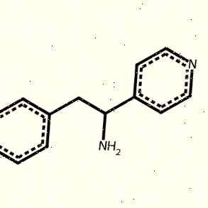 NC(Cc1ccncc1)c1ccncc1